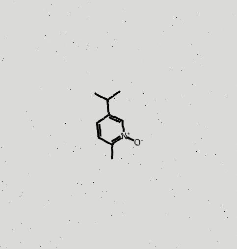 Cc1ccc(C(C)C)c[n+]1[O-]